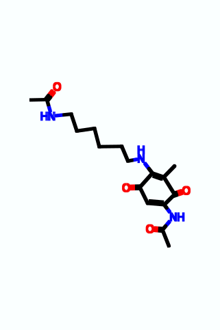 CC(=O)NCCCCCCNC1=C(C)C(=O)C(NC(C)=O)=CC1=O